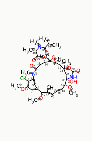 COc1cc2cc(c1Cl)N(C)C(=O)C[C@H](OC(=O)[C@H](C)N(C)C(=O)C(C)C)[C@]1(C)O[C@H]1[C@H](C)[C@@H]1C[C@@](O)(NC(=O)O1)[C@H](OC)/C=C/C=C(\C)C2OC